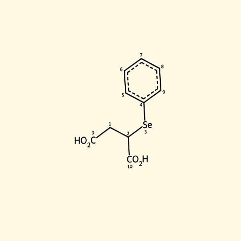 O=C(O)CC([Se]c1ccccc1)C(=O)O